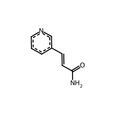 NC(=O)C=Cc1cccnc1